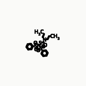 CCCN(CCC)C(=O)SN(S(=O)(=O)c1ccccc1)S(=O)(=O)c1ccccc1